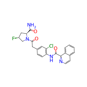 NC(=O)[C@@H]1C[C@H](F)CN1C(=O)Cc1ccc(NC(=O)c2nccc3ccccc23)c(Cl)c1